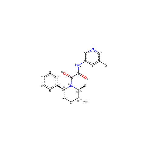 Cc1cncc(NC(=O)C(=O)N2[C@H](c3ccccc3)CC[C@@H](C)[C@@H]2C)c1